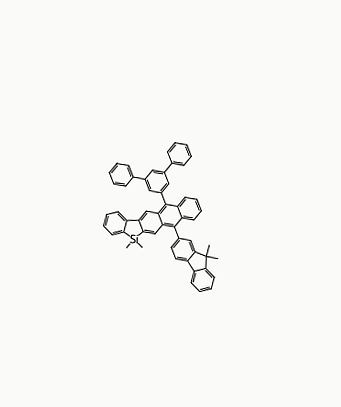 CC1(C)c2ccccc2-c2ccc(-c3c4ccccc4c(-c4cc(-c5ccccc5)cc(-c5ccccc5)c4)c4cc5c(cc34)[Si](C)(C)c3ccccc3-5)cc21